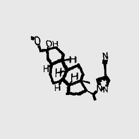 COC[C@@]1(O)CC[C@H]2[C@H](CC[C@@H]3[C@@H]2CC[C@]2(C)[C@@H](C(C)n4cc(C#N)cn4)CC[C@@H]32)C1